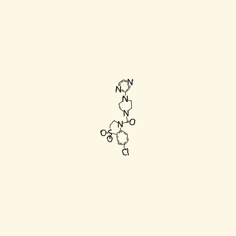 O=C(N1CCN(c2cnccn2)CC1)N1CCS(=O)(=O)c2cc(Cl)ccc21